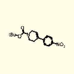 CC(C)(C)OC(=O)N1CC=C(c2ccc([N+](=O)[O-])cc2)CC1